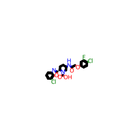 O=C(COc1ccc(Cl)c(F)c1)NC1CC[C@@H](c2nc3cccc(Cl)c3o2)N(C(=O)O)C1